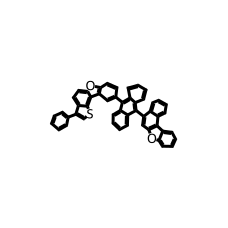 c1ccc(-c2csc3c2ccc2oc4ccc(-c5c6ccccc6c(-c6cc7oc8ccccc8c7c7ccccc67)c6ccccc56)cc4c23)cc1